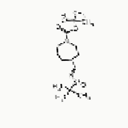 CC(C)(C)OC(=O)N1CCC[C@@H](/C=N/[S@+]([O-])C(C)(C)C)CC1